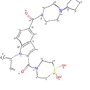 CC(C)n1c(C(=O)N2CCS(O)(O)CC2)cc2cc(C(=O)N3CCN(C4CCC4)CC3)ccc21